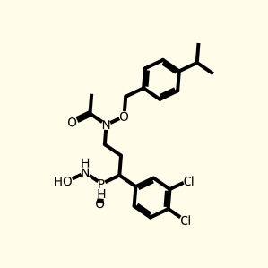 CC(=O)N(CCC(c1ccc(Cl)c(Cl)c1)[PH](=O)NO)OCc1ccc(C(C)C)cc1